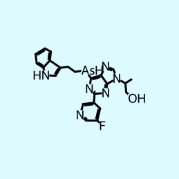 CC(CO)n1cnc2c([AsH]CCc3c[nH]c4ccccc34)nc(-c3cncc(F)c3)nc21